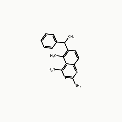 Cc1c(C(C)c2ccccc2)ccc2nc(N)nc(N)c12